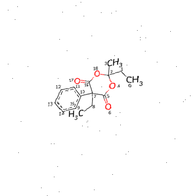 CCC1(C)OC(=O)C(CC)(c2ccccc2)C(=O)O1